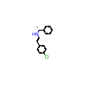 C[C@@H](N/C=C/c1ccc(Cl)cc1)c1ccccc1